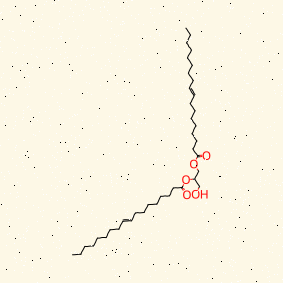 CCCCCCCCC=CCCCCCCCC(=O)OCC(CO)OC(=O)CCCCCCCC=CCCCCCCCC